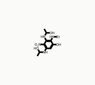 CCNc1c(O)cc(NC(C)O)c([N+](=O)[O-])c1NC(C)O